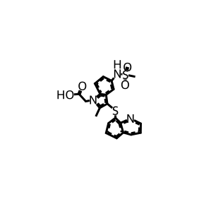 Cc1c(Sc2cccc3cccnc23)c2cc(NS(C)(=O)=O)ccc2n1CC(=O)O